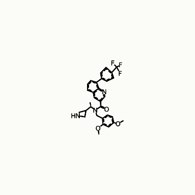 COc1ccc(CN(C(=O)c2cnc3c(-c4ccc(C(F)(F)F)cc4)cccc3c2)[C@H](C)C2CNC2)c(OC)c1